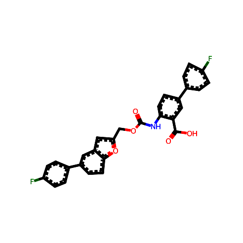 O=C(Nc1ccc(-c2ccc(F)cc2)cc1C(=O)O)OCc1cc2cc(-c3ccc(F)cc3)ccc2o1